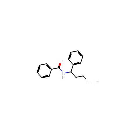 O=C(O)CCC(NC(=O)c1ccccc1)c1ccccc1